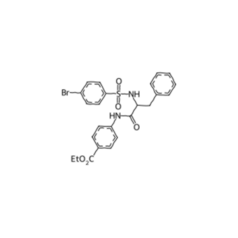 CCOC(=O)c1ccc(NC(=O)C(Cc2ccccc2)NS(=O)(=O)c2ccc(Br)cc2)cc1